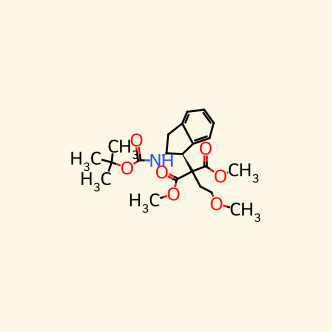 COCCC(C(=O)OC)(C(=O)OC)[C@@H]1c2ccccc2C[C@H]1NC(=O)OC(C)(C)C